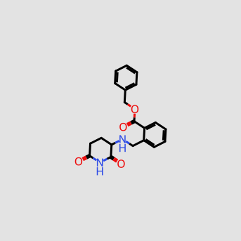 O=C1CCC(NCc2ccccc2C(=O)OCc2ccccc2)C(=O)N1